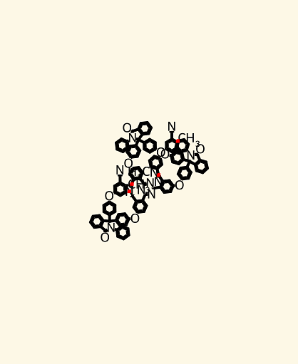 Cc1ccc(Oc2ccc(C3(c4ccc(Oc5ccc(-c6nc(-c7ccc(Oc8ccc(C9(c%10ccc(Oc%11ccc(C)c(C#N)c%11)cc%10)c%10ccccc%10C(=O)N9c9ccccc9)cc8)cc7C#N)nc(-c7ccc(Oc8ccc(C9(c%10ccc(Oc%11ccc(C)c(C#N)c%11)cc%10)c%10ccccc%10C(=O)N9c9ccccc9)cc8)cc7C#N)n6)c(C#N)c5)cc4)c4ccccc4C(=O)N3c3ccccc3)cc2)cc1C#N